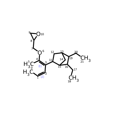 C/C=C\C(=C(/C)OCC1CO1)C1CC2CC1C(CC)C2CC